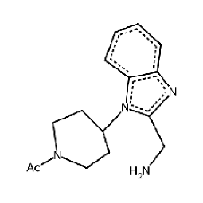 CC(=O)N1CCC(n2c(CN)nc3ccccc32)CC1